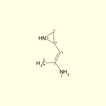 C/C(N)=C\C1CN1